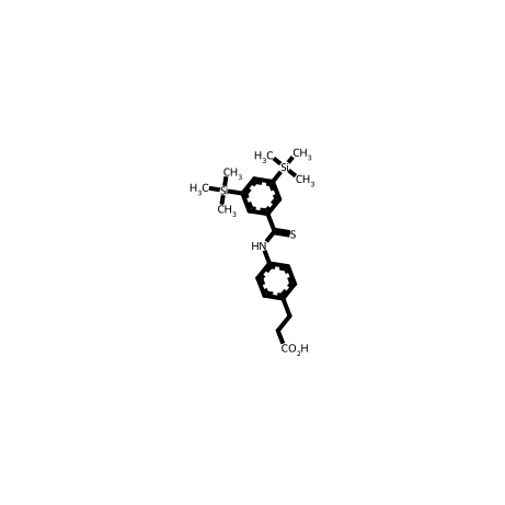 C[Si](C)(C)c1cc(C(=S)Nc2ccc(CCC(=O)O)cc2)cc([Si](C)(C)C)c1